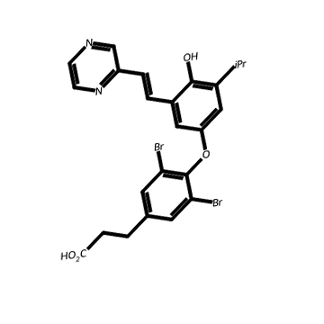 CC(C)c1cc(Oc2c(Br)cc(CCC(=O)O)cc2Br)cc(C=Cc2cnccn2)c1O